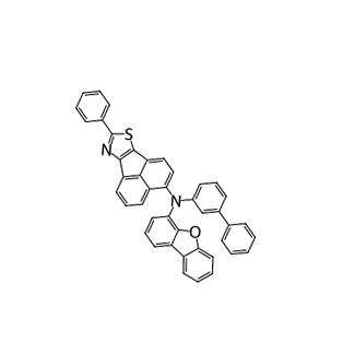 c1ccc(-c2cccc(N(c3ccc4c5c(cccc35)-c3nc(-c5ccccc5)sc3-4)c3cccc4c3oc3ccccc34)c2)cc1